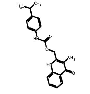 Cc1c(COC(=O)Nc2ccc(C(C)C)cc2)[nH]c2ccccc2c1=O